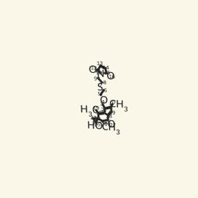 CC1=C(COCCSCCN2C(=O)C=CC2=O)C2=C(C)C3(CC3)[C@@](C)(O)C(=O)C2=C1